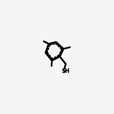 Cc1cc(C)c(CS)c(C)c1